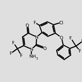 Nn1c(C(F)(F)F)cc(=O)n(-c2cc(Oc3ccccc3C(F)(F)F)c(Cl)cc2F)c1=O